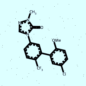 COc1ccc(Cl)cc1-c1cc(-n2cnn(C)c2=O)ccc1C(F)(F)F